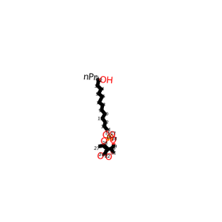 CCCC(O)CCCCCCCCCCCCOP1(=O)OCC2COC(=O)C2=C(C)O1